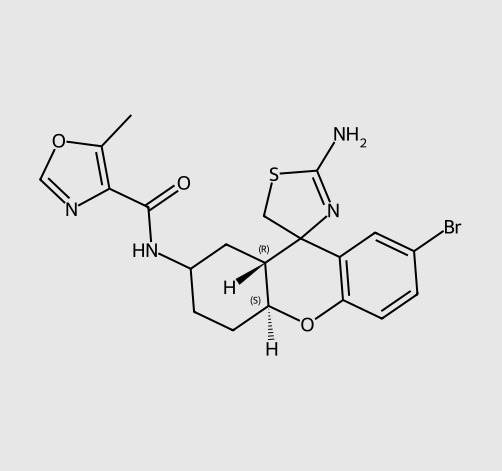 Cc1ocnc1C(=O)NC1CC[C@@H]2Oc3ccc(Br)cc3C3(CSC(N)=N3)[C@H]2C1